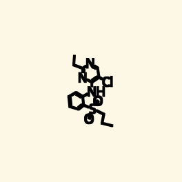 CCCS(=O)(=O)c1ccccc1Nc1nc(CC)ncc1Cl